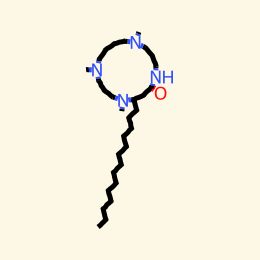 CCCCCCCCCCCCCCC1CC(=O)NCCCN(C)CCCCN(C)CCCN1C